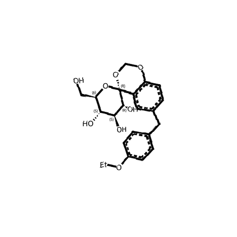 CCOc1ccc(Cc2ccc3c(c2)[C@]2(OCO3)O[C@H](CO)[C@@H](O)[C@H](O)[C@H]2O)cc1